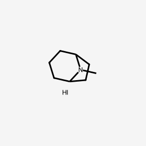 CN1C2CCCC1CC2.I